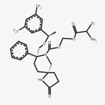 CCC(N)C(=O)OCOC(=O)N1C[C@@]2(CCC(=O)N2)CC[C@@]1(CO[C@H](C)c1cc(C(F)(F)F)cc(C(F)(F)F)c1)c1ccccc1